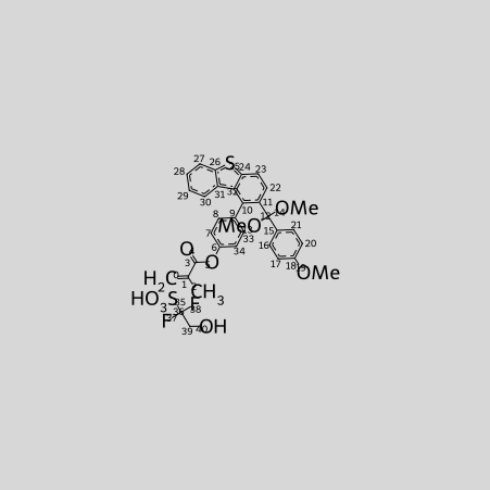 C=C(C)C(=O)Oc1ccc(-c2c(C(OC)(OC)c3ccc(OC)cc3)ccc3sc4ccccc4c23)cc1.O=S(=O)(O)C(F)(F)CO